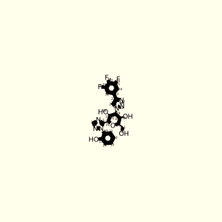 OC[C@H]1O[C@@H](c2ncnn2-c2ccccc2O)[C@H](O)[C@@H](n2cc(-c3cc(F)c(F)c(F)c3)nn2)[C@H]1O